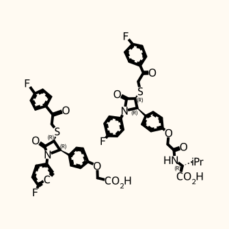 CC(C)[C@@H](NC(=O)COc1ccc([C@@H]2[C@@H](SCC(=O)c3ccc(F)cc3)C(=O)N2c2ccc(F)cc2)cc1)C(=O)O.O=C(O)COc1ccc([C@@H]2[C@@H](SCC(=O)c3ccc(F)cc3)C(=O)N2c2ccc(F)cc2)cc1